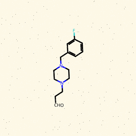 O=CCCN1CCN(Cc2cccc(F)c2)CC1